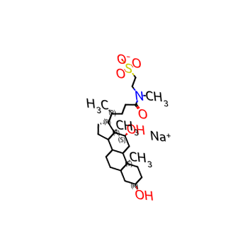 C[C@H](CCC(=O)N(C)CCS(=O)(=O)[O-])[C@H]1CCC2C3CCC4C[C@H](O)CC[C@]4(C)C3C[C@H](O)[C@@]21C.[Na+]